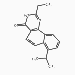 CCc1nc2c(ccc3c(C(C)C)cccc32)c(=O)[nH]1